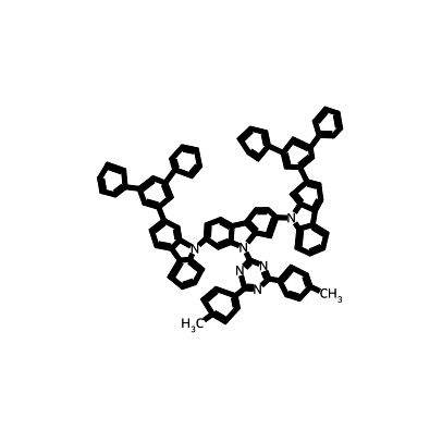 Cc1ccc(-c2nc(-c3ccc(C)cc3)nc(-n3c4cc(-n5c6ccccc6c6ccc(-c7cc(-c8ccccc8)cc(-c8ccccc8)c7)cc65)ccc4c4ccc(-n5c6ccccc6c6ccc(-c7cc(-c8ccccc8)cc(-c8ccccc8)c7)cc65)cc43)n2)cc1